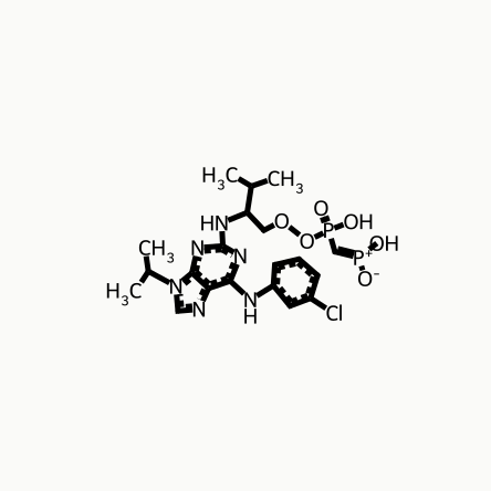 CC(C)C(COOP(=O)(O)/C=[P+](/[O-])O)Nc1nc(Nc2cccc(Cl)c2)c2ncn(C(C)C)c2n1